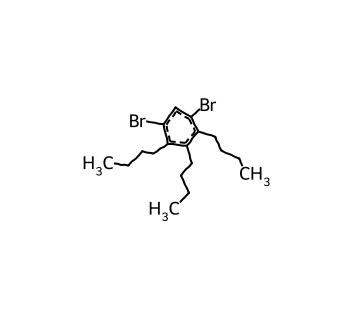 CCCCc1c(Br)cc(Br)c(CCCC)c1CCCC